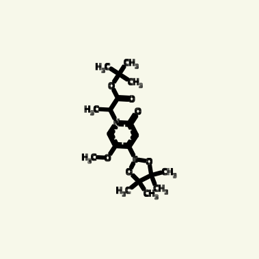 COc1cn(C(C)C(=O)OC(C)(C)C)c(=O)cc1B1OC(C)(C)C(C)(C)O1